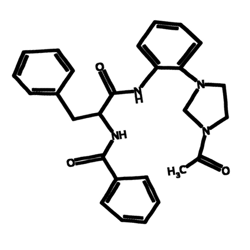 CC(=O)N1CCN(c2ccccc2NC(=O)C(Cc2ccccc2)NC(=O)c2ccccc2)C1